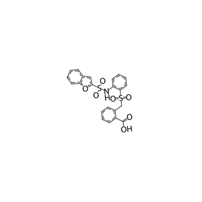 O=C(O)c1ccccc1CS(=O)(=O)c1ccccc1NS(=O)(=O)c1cc2ccccc2o1